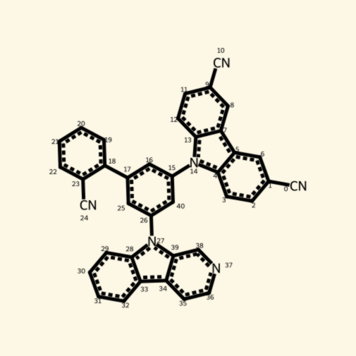 N#Cc1ccc2c(c1)c1cc(C#N)ccc1n2-c1cc(-c2ccccc2C#N)cc(-n2c3ccccc3c3ccncc32)c1